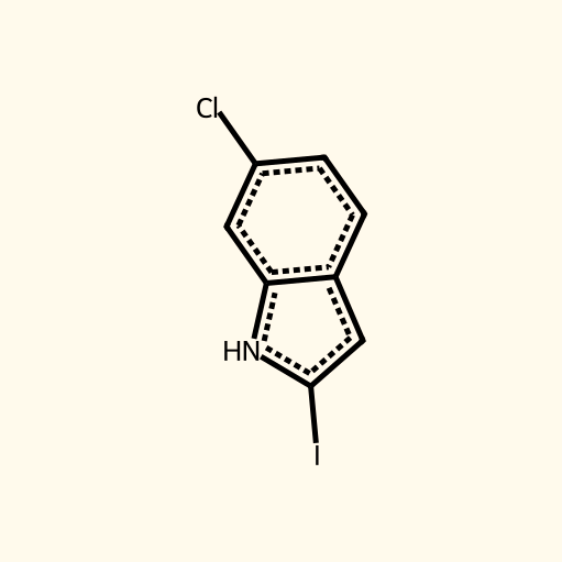 Clc1ccc2cc(I)[nH]c2c1